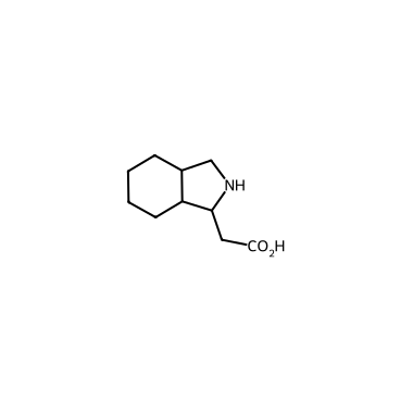 O=C(O)CC1NCC2CCCCC21